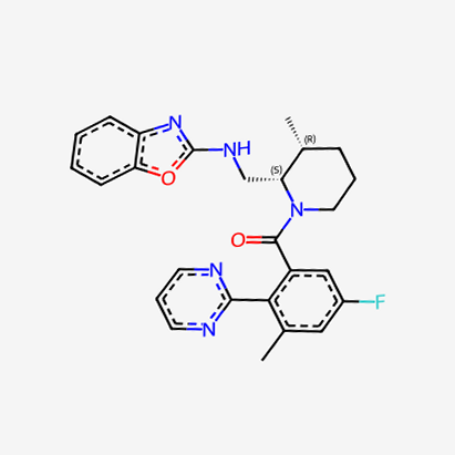 Cc1cc(F)cc(C(=O)N2CCC[C@@H](C)[C@H]2CNc2nc3ccccc3o2)c1-c1ncccn1